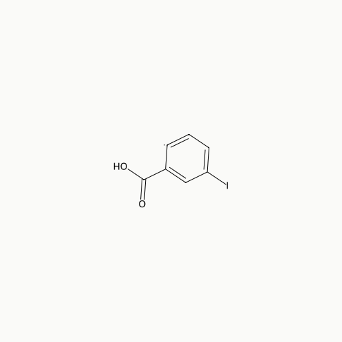 O=C(O)c1[c]ccc(I)c1